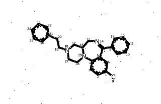 Clc1ccc2c(c1)C(c1ccccc1)=NCC1CN(CCc3ccccc3)CCN21